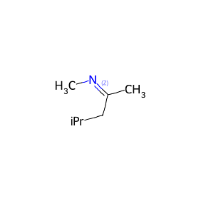 C/N=C(/C)CC(C)C